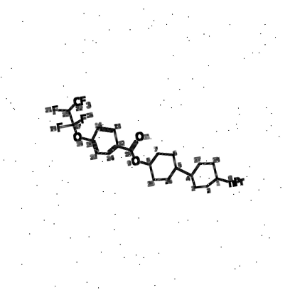 CCCC1CCC(C2CCC(OC(=O)c3ccc(OC(F)(F)C(F)C(F)(F)F)cc3)CC2)CC1